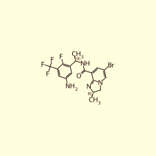 C[C@@H]1CN2C=C(Br)C=C(C(=O)N[C@H](C)c3cc(N)cc(C(F)(F)F)c3F)C2=N1